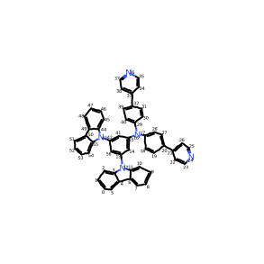 c1ccc2c(c1)c1ccccc1n2-c1cc(N(c2ccc(-c3ccncc3)cc2)c2ccc(-c3ccncc3)cc2)cc(-n2c3ccccc3c3ccccc32)c1